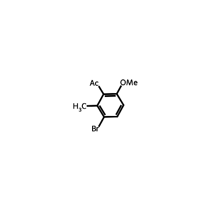 COc1ccc(Br)c(C)c1C(C)=O